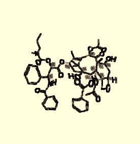 CCCN(C)C(=O)O[C@@H](C(=O)O[C@H]1C[C@@]2(O)[C@@H](OC(=O)c3ccccc3)[C@@H]3[C@]4(OC(C)=O)CO[C@@H]4C[C@H](O)[C@@]3(C)C(=O)[C@H](OC(C)=O)C(=C1C)C2(C)C)[C@@H](NC(=O)c1ccccc1)c1ccccc1